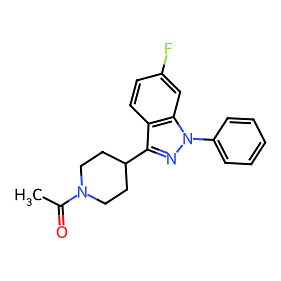 CC(=O)N1CCC(c2nn(-c3ccccc3)c3cc(F)ccc23)CC1